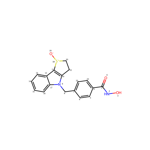 O=C(NO)c1ccc(Cn2c3c(c4ccccc42)[S+]([O-])CC3)cc1